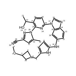 COC1CN(Cc2ccc(Nc3ccc4ncn(-c5ccc(C(C)O)c(-n6nc(C#N)cc6C)n5)c4c3)[nH]2)C1